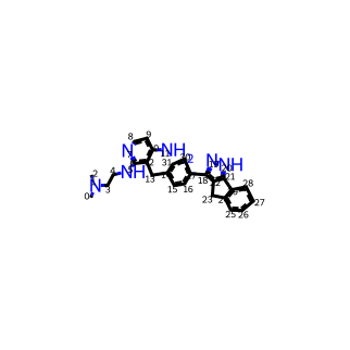 CN(C)CCNc1nccc(N)c1Cc1ccc(-c2n[nH]c3c2Cc2ccccc2-3)cc1